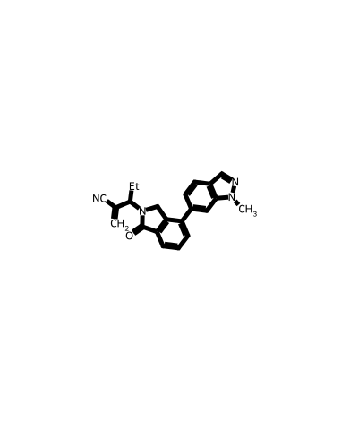 C=C(C#N)C(CC)N1Cc2c(cccc2-c2ccc3cnn(C)c3c2)C1=O